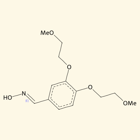 COCCOc1ccc(/C=N/O)cc1OCCOC